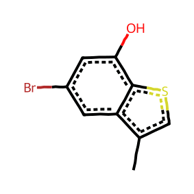 Cc1csc2c(O)cc(Br)cc12